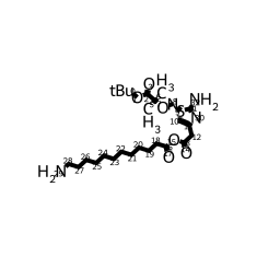 CC(C)(C)OC(=O)C(C)(C)ON=S1C=C(CC(=O)OC(=O)CCCCCCCCCCCN)N=C1N